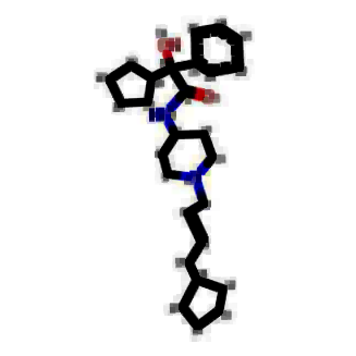 O=C(NC1CCN(CC=CCC2CCCC2)CC1)C(O)(c1ccccc1)C1CCCC1